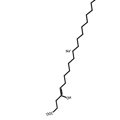 CCCCCCCCCCCCCCCCCCCCCCCCCC=C(O)CCC(=O)[O-].[Na+]